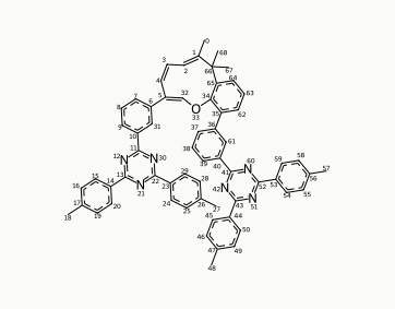 C\C1=C/C=C\C(c2cccc(-c3nc(-c4ccc(C)cc4)nc(-c4ccc(C)cc4)n3)c2)=C\Oc2c(-c3cccc(-c4nc(-c5ccc(C)cc5)nc(-c5ccc(C)cc5)n4)c3)cccc2C1(C)C